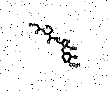 CCCCc1ncc(CNC(=O)C(CSC(=O)CC(C)C)CC(C)C)n1Cc1ccc(C(=O)O)c(Br)c1